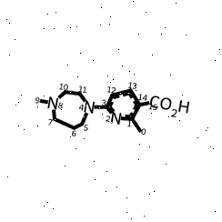 Cc1nc(N2CCCN(C)CC2)ccc1C(=O)O